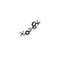 FC(F)(F)Sc1ccc(CNc2noc3c(C(F)(F)F)nccc23)cc1